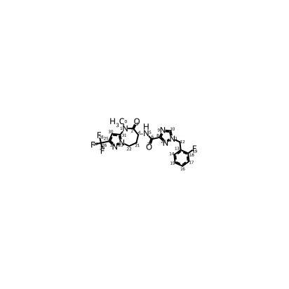 CN1C(=O)[C@H](NC(=O)c2ncn(Cc3ccccc3F)n2)CCn2nc(C(F)(F)F)cc21